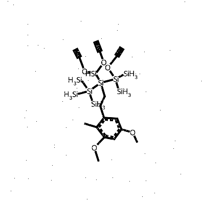 C#CO[SiH](OC#C)[Si](CCc1cc(OC)cc(OC)c1C)([Si]([SiH3])([SiH3])[SiH3])[Si]([SiH3])([SiH3])OC#C